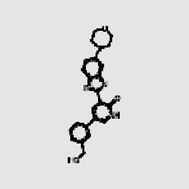 O=c1[nH]cc(-c2cccc(CO)c2)cc1-c1nc2cc(N3CCOCC3)ccc2[nH]1